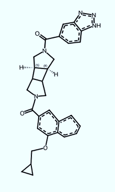 O=C(c1cc(OCC2CC2)c2ccccc2c1)N1CC2C(C1)[C@@H]1CN(C(=O)c3ccc4[nH]nnc4c3)C[C@H]21